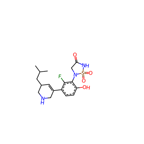 CC(C)CC1C=C(c2ccc(O)c(N3CC(=O)NS3(=O)=O)c2F)CNC1